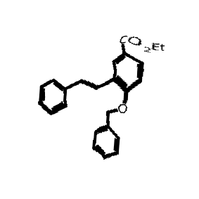 CCOC(=O)c1ccc(OCc2ccccc2)c(CCc2ccccc2)c1